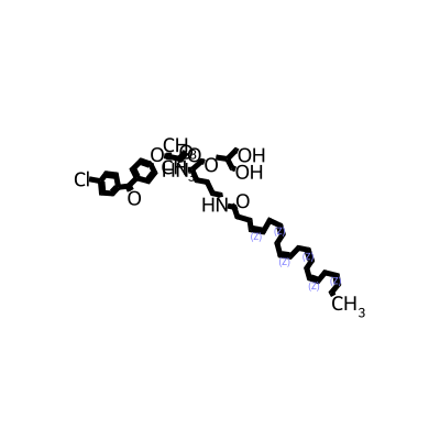 CC/C=C\C/C=C\C/C=C\C/C=C\C/C=C\C/C=C\CCC(=O)NCCCCC(NC(=O)C(C)(C)Oc1ccc(C(=O)c2ccc(Cl)cc2)cc1)C(=O)OCC(CO)CO